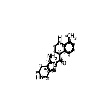 Cc1cccc2c1NCCC2C(=O)n1nc2c(c1N)CCNC2